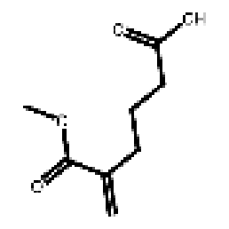 C=C(CCCC(=O)O)C(=O)OC